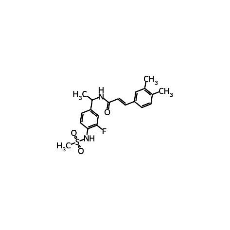 Cc1ccc(C=CC(=O)NC(C)c2ccc(NS(C)(=O)=O)c(F)c2)cc1C